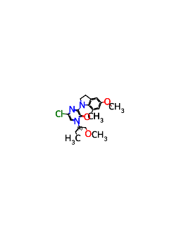 CC[C@H](COC)n1cc(Cl)nc(N2CCc3cc(OC)cc(C)c32)c1=O